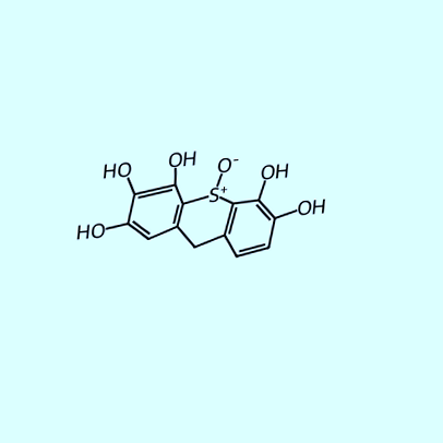 [O-][S+]1c2c(ccc(O)c2O)Cc2cc(O)c(O)c(O)c21